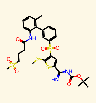 CSc1sc(C(=N)NC(=O)OC(C)(C)C)cc1S(=O)(=O)c1cccc(-c2c(C)cccc2NC(=O)CCCS(C)(=O)=O)c1